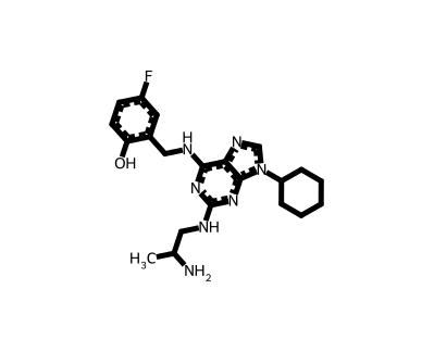 CC(N)CNc1nc(NCc2cc(F)ccc2O)c2ncn(C3CCCCC3)c2n1